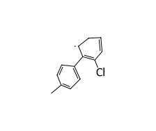 Cc1ccc(C2=C(Cl)C=CC[CH]2)cc1